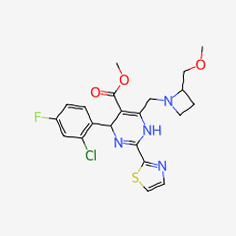 COCC1CCN1CC1=C(C(=O)OC)C(c2ccc(F)cc2Cl)N=C(c2nccs2)N1